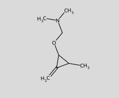 C=C1C(C)C1OCN(C)C